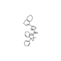 CC1(C(=O)Nc2nc(C3=CCCC4=C3CCCC4)cs2)CC1(C1=CCCC=C1)C1=CCCC=C1